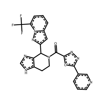 O=C(c1nnc(-c2cccnc2)o1)N1CCc2[nH]cnc2C1c1cc2cccc(C(F)(F)F)n2n1